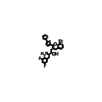 CCc1cccc(CN(C[C@@H](O)[C@@H](N)Cc2cc(F)cc(F)c2)C(=O)c2ccc(-c3cccs3)s2)c1